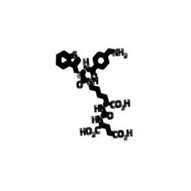 NCC1CCC(C(=O)N[C@@H](Cc2csc3ccccc23)C(=O)NCCCC[C@H](NC(=O)N[C@@H](CCC(=O)O)C(=O)O)C(=O)O)CC1